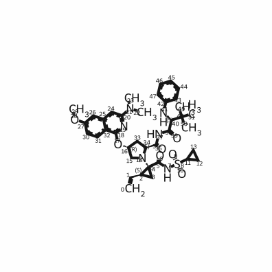 C=C[C@@H]1C[C@@]1(C(=O)NS(=O)(=O)C1CC1)N1C[C@H](Oc2nc(N(C)C)cc3cc(OC)ccc23)C[C@H]1C(=O)NC(=O)[C@@H](Nc1ccccc1)C(C)(C)C